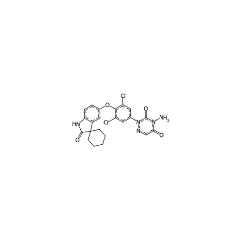 Nn1c(=O)cnn(-c2cc(Cl)c(Oc3ccc4c(c3)C3(CCCCC3)C(=O)N4)c(Cl)c2)c1=O